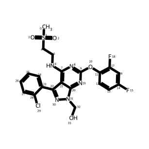 CS(=O)(=O)CCNc1nc(Oc2ccc(F)cc2F)nc2c1c(-c1ccccc1Cl)nn2CO